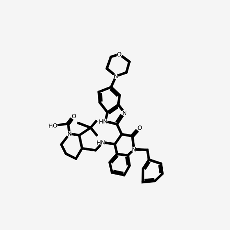 CC(C)(C)C1C(CNC2c3ccccc3N(Cc3ccccc3)C(=O)C2c2nc3cc(N4CCOCC4)ccc3[nH]2)CCCN1C(=O)O